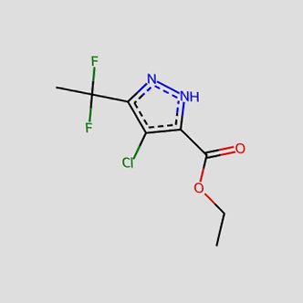 CCOC(=O)c1[nH]nc(C(C)(F)F)c1Cl